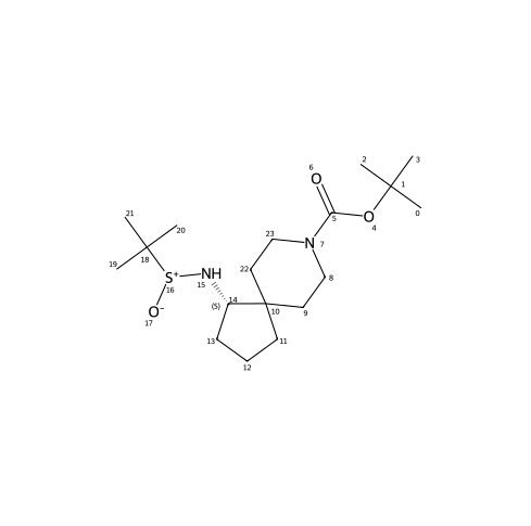 CC(C)(C)OC(=O)N1CCC2(CCC[C@@H]2N[S+]([O-])C(C)(C)C)CC1